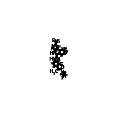 CC(C(=O)N1CC(F)(F)C1)c1ccc2[nH]c(C(Nc3ccc(C(F)F)nn3)C3CCC(F)(F)CC3)nc2c1F